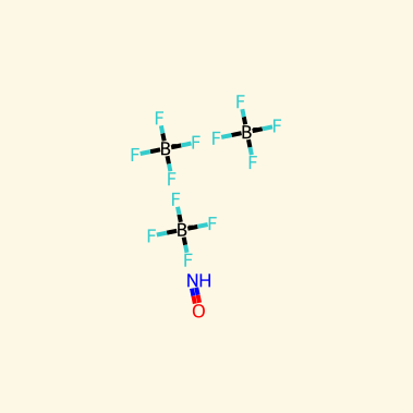 F[B-](F)(F)F.F[B-](F)(F)F.F[B-](F)(F)F.N=O